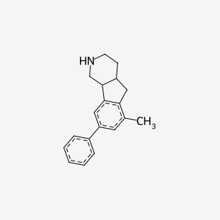 Cc1cc(-c2ccccc2)cc2c1CC1CCNCC21